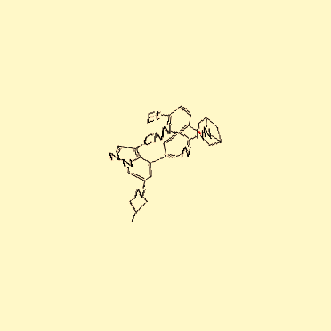 CCc1ccc(CN2C3CC2CN(c2ccc(-c4cc(N5CC(C)C5)cn5ncc(C#N)c45)cn2)C3)cn1